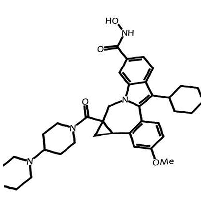 COc1ccc2c(c1)C1CC1(C(=O)N1CCC(N3CCOCC3)CC1)Cn1c-2c(C2CCCCC2)c2ccc(C(=O)NO)cc21